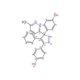 Cc1ccc(C2(c3ccc(O)cc3)N=NC(c3ccc(O)cc3)=C2c2ccccc2)nn1